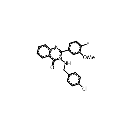 COc1cc(-c2nc3ccccc3c(=O)n2NCc2ccc(Cl)cc2)ccc1F